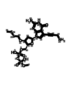 COP(=O)(O)OP(=O)(O)OC[C@H]1O[C@@H](n2cc(C#CCN)c3c(=O)[nH]c(N)nc32)C[C@@H]1OCSSC